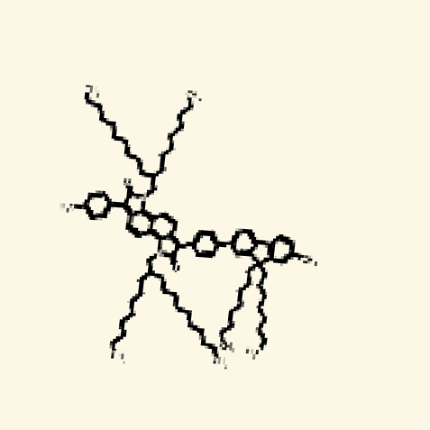 CCCCCCCCCCC(CCCCCCCC)CN1C(=O)C(c2ccc(C)cc2)=c2ccc3c4c(ccc3c21)=C(c1ccc(-c2ccc3c(c2)C(CCCCCCCC)(CCCCCCCC)c2cc(C)ccc2-3)cc1)C(=O)N4CC(CCCCCCCC)CCCCCCCCCC